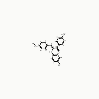 CSc1ccc(C=C(Sc2ccc(C)cc2)C(=O)c2ccc(Br)cc2)cc1